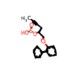 CC#CCC(COc1ccccc1-c1ccccc1)OS(=O)O